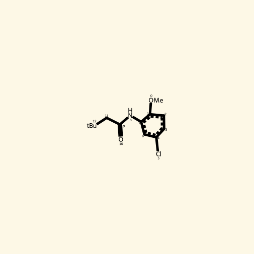 COc1ccc(Cl)cc1NC(=O)CC(C)(C)C